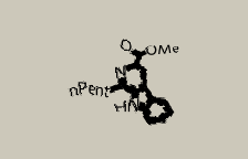 CCCCCc1nc(C(=O)OC)cc2c1[nH]c1ccccc12